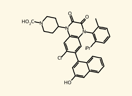 Cc1cccc(C(C)C)c1-n1c(=O)c(=O)n(C2CCN(C(=O)O)CC2)c2cc(Cl)c(-c3cc(O)cc4ccccc34)cc21